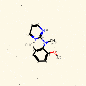 CCOc1cccc(C=O)c1N(C)c1ncccn1